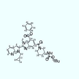 Cn1c(-c2cc3cccnc3n2CC2CC2)nc2cc(C(=O)N3CCC[C@@H](NC(=O)OC(C)(C)C)C3)cc(C(=O)Oc3ccccc3)c21